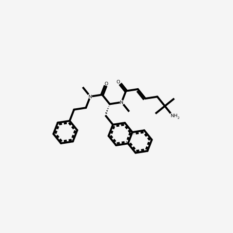 CN(CCc1ccccc1)C(=O)[C@@H](Cc1ccc2ccccc2c1)N(C)C(=O)/C=C/CC(C)(C)N